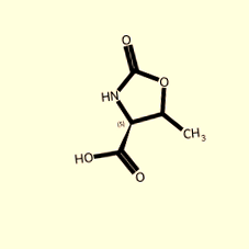 CC1OC(=O)N[C@@H]1C(=O)O